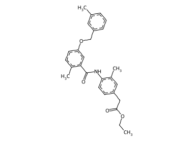 CCOC(=O)Cc1ccc(NC(=O)c2cc(OCc3cccc(C)c3)ccc2C)c(C)c1